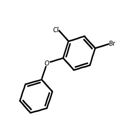 Clc1cc(Br)ccc1Oc1ccccc1